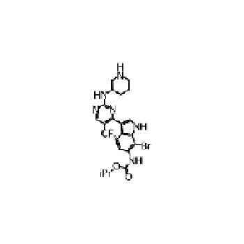 CC(C)OC(=O)Nc1ccc2c(-c3nc(NC4CCCNC4)ncc3C(F)(F)F)c[nH]c2c1Br